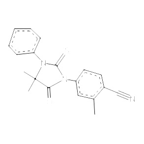 Cc1cc(N2C(=O)C(C)(C)N(c3ccccc3)C2=S)ccc1C#N